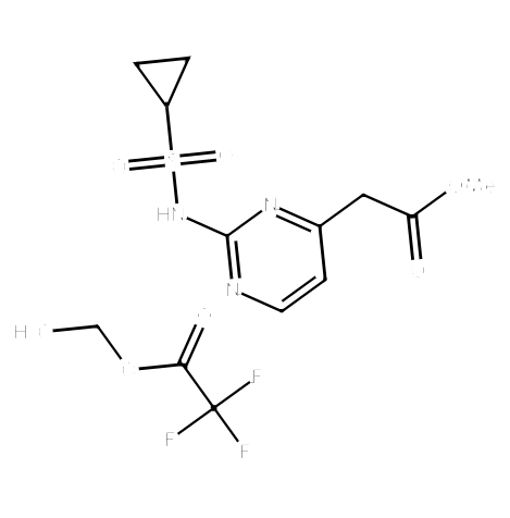 CCOC(=O)C(F)(F)F.COC(=O)Cc1ccnc(NS(=O)(=O)C2CC2)n1